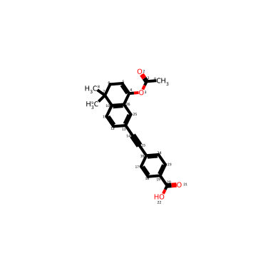 CC(=O)OC1=CCC(C)(C)c2ccc(C#Cc3ccc(C(=O)O)cc3)cc21